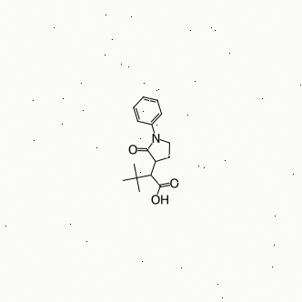 CC(C)(C)C(C(=O)O)C1CCN(c2ccccc2)C1=O